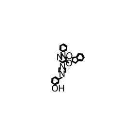 O=c1c(OC2Cc3ccccc3C2)c(N2CCN(Cc3cccc(O)c3)CC2)cnn1-c1ccccc1